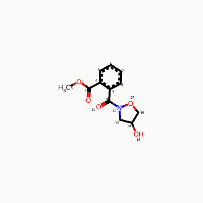 COC(=O)c1ccccc1C(=O)N1CC(O)CO1